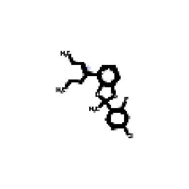 CC/C=C(\CCC)c1cccc2c1OC(C)(c1ccc(Cl)cc1F)O2